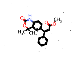 COC(=O)/C=C(/c1ccccc1)c1ccc2c(c1)C(C)(C)OC(=O)N2